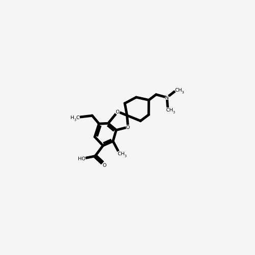 CCc1cc(C(=O)O)c(C)c2c1OC1(CCC(CN(C)C)CC1)O2